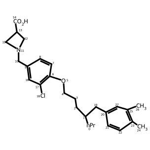 CCCC(CCCOc1ccc(CN2CC(C(=O)O)C2)cc1Cl)Cc1ccc(C)c(C)c1